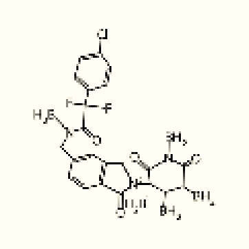 BC1C(=O)N(B)C(=O)[C@](B)(N2Cc3cc(CN(B)C(=O)C(F)(F)c4ccc(Cl)cc4)ccc3C2=O)C1B